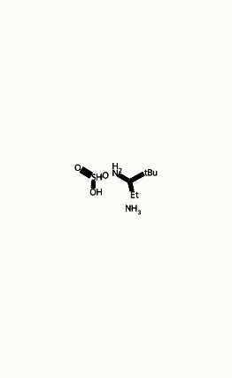 CCC(N)C(C)(C)C.N.O=[SH](=O)O